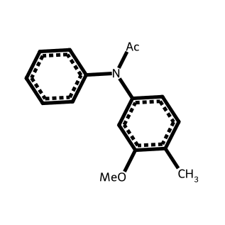 COc1cc(N(C(C)=O)c2ccccc2)ccc1C